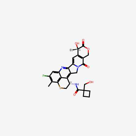 CC[C@@]1(O)C(=O)OCc2c1cc1n(c2=O)Cc2c-1nc1cc(F)c(C)c3c1c2[C@H](NC(=O)C1(CO)CCC1)CS3